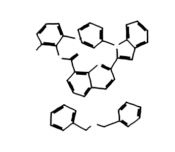 Cc1cccc(C)c1NC(=O)c1cccc2ccc(-c3cc4ccccc4n3-c3ccccc3)nc12.c1ccc([CH2][Zr][CH2]c2ccccc2)cc1